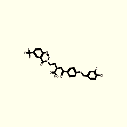 O=C(CC(CCn1nnc2ccc(C(F)(F)F)cc2c1=O)C(=O)O)c1ccc(OCc2ccc(Cl)c(Cl)c2)cc1